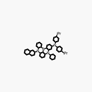 CC(C)c1ccc(N(c2ccc(C(C)C)cc2)c2ccc3c(c2)N(c2ccccc2)c2cccc4c2B3c2ccccc2N4c2ccc3ccccc3c2)cc1